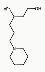 CCCC(CCO)CCCN1CCCCC1